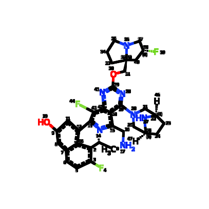 CCc1c(F)ccc2cc(O)cc(-c3nc(CN)c4c(N5C[C@H]6CC[C@@H](C5)N6)nc(OC[C@@]56CCCN5C[C@H](F)C6)nc4c3F)c12